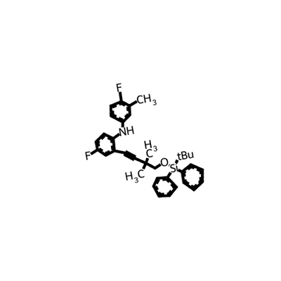 Cc1cc(Nc2ccc(F)cc2C#CC(C)(C)CO[Si](c2ccccc2)(c2ccccc2)C(C)(C)C)ccc1F